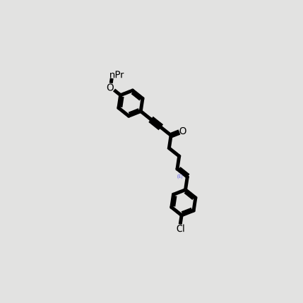 CCCOc1ccc(C#CC(=O)CC/C=C/c2ccc(Cl)cc2)cc1